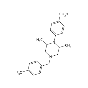 CC1CN(Cc2ccc(C(F)(F)F)cc2)CC(C)N1c1ccc(C(=O)O)cc1